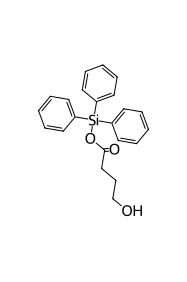 O=C(CCCO)O[Si](c1ccccc1)(c1ccccc1)c1ccccc1